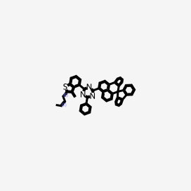 C=c1/c(=C\C=C/C)sc2cccc(-c3nc(-c4ccccc4)nc(-c4ccc5c6c(cccc46)C4(c6ccccc6-c6ccccc64)c4ccccc4-5)n3)c12